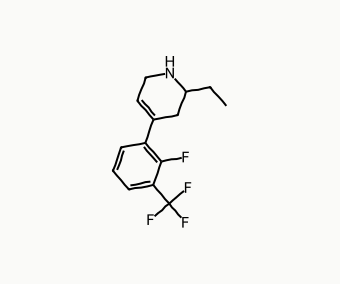 CCC1CC(c2cccc(C(F)(F)F)c2F)=CCN1